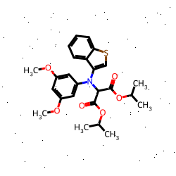 COc1cc(OC)cc(N(c2csc3ccccc23)C(C(=O)OC(C)C)C(=O)OC(C)C)c1